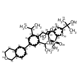 CC(C)c1cc(-c2ccc3c(c2)CCOC3)cc(C(C)C)c1CC(=O)N=S(N)(=O)c1sc(C(C)(C)O)nc1CO